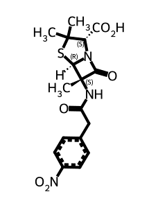 CC1(C)S[C@H]2N(C(=O)[C@]2(C)NC(=O)Cc2ccc([N+](=O)[O-])cc2)[C@H]1C(=O)O